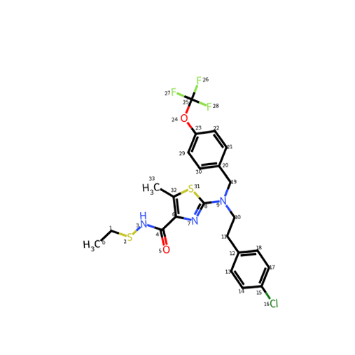 CCSNC(=O)c1nc(N(CCc2ccc(Cl)cc2)Cc2ccc(OC(F)(F)F)cc2)sc1C